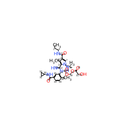 CCCNC(=O)c1cn(NC)c(C(=N)N(C(=O)OCOC(=O)CO)c2cc(C(=O)NC3CC3)ccc2C)c1C